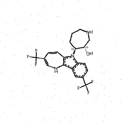 O[C@H]1CNCCC[C@@H]1n1c2c(c3cc(C(F)(F)F)ccc31)NC=C(C(F)(F)F)C=C2